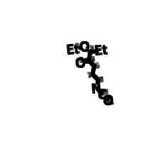 CCOC(CC)C(=O)CCCN=C=O